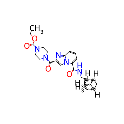 CCOC(=O)N1CCN(C(=O)c2cn3c(C(=O)NC[C@@H]4CC[C@H]5C[C@H]4C5(C)C)cccc3n2)CC1